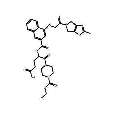 CCOC(=O)N1CCN(C(=O)C(CCC(=O)O)NC(=O)c2cc(OCC(=O)N3Cc4nc(C)sc4C3)c3ccccc3n2)CC1